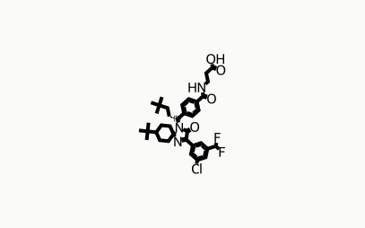 CC(C)(C)CC[C@H](c1ccc(C(=O)NCCC(=O)O)cc1)N1C(=O)C(c2cc(Cl)cc(C(F)F)c2)=NC12CCC(C(C)(C)C)CC2